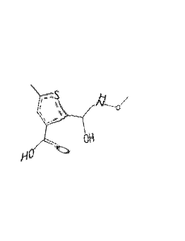 CONC(O)c1sc(C)cc1C(=O)O